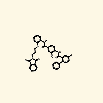 Cc1ccc(-c2ccccc2)c(C(=O)Nc2ccc(C(=O)N(C)c3ccccc3OCCCN3C(=O)c4ccccc4C3=O)cc2Cl)c1